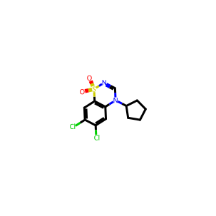 O=S1(=O)N=CN(C2CCCC2)c2cc(Cl)c(Cl)cc21